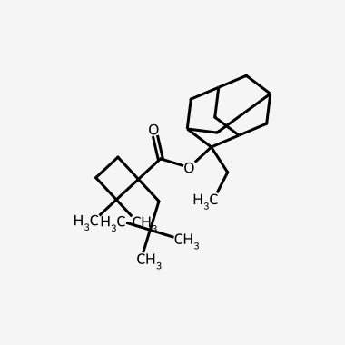 CCC1(OC(=O)C2(CC(C)(C)C)CCC2(C)C)C2CC3CC(C2)CC1C3